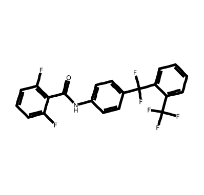 O=C(Nc1ccc(C(F)(F)c2ccccc2C(F)(F)F)cc1)c1c(F)cccc1F